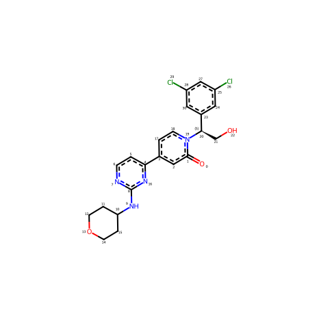 O=c1cc(-c2ccnc(NC3CCOCC3)n2)ccn1[C@H](CO)c1cc(Cl)cc(Cl)c1